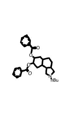 CCCCN1CC2CCC3CC(OC(=O)c4ccccc4)C(OC(=O)c4ccccc4)CC3C2C1